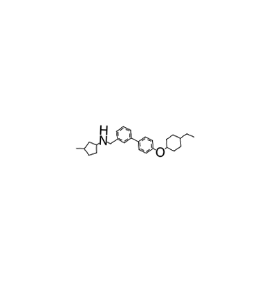 CCC1CCC(Oc2ccc(-c3cccc(CNC4CCC(C)C4)c3)cc2)CC1